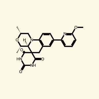 COc1cccc(-c2ccc3c(c2)CC2(C(=O)NC(=O)NC2=O)[C@H]2[C@H](C)O[C@H](C)CN32)n1